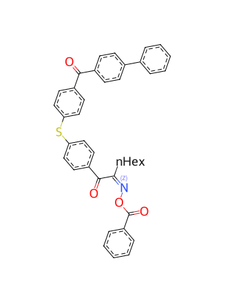 CCCCCC/C(=N/OC(=O)c1ccccc1)C(=O)c1ccc(Sc2ccc(C(=O)c3ccc(-c4ccccc4)cc3)cc2)cc1